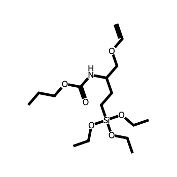 C=COCC(CC[Si](OCC)(OCC)OCC)NC(=O)OCCC